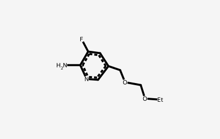 CCOCOCc1cnc(N)c(F)c1